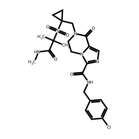 CNC(=O)C(C)(C)S(=O)(=O)C1(CN2CCn3c(cnc3C(=O)NCc3ccc(Cl)cc3)C2=O)CC1